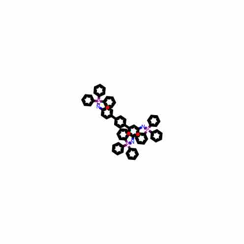 c1ccc(P(=Nc2ccc(-c3ccc(-c4cc(N=P(c5ccccc5)(c5ccccc5)c5ccccc5)cc(N=P(c5ccccc5)(c5ccccc5)c5ccccc5)c4)cc3)cc2)(c2ccccc2)c2ccccc2)cc1